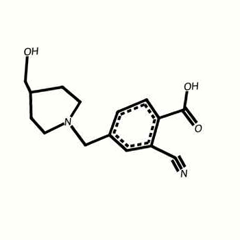 N#Cc1cc(CN2CCC(CO)CC2)ccc1C(=O)O